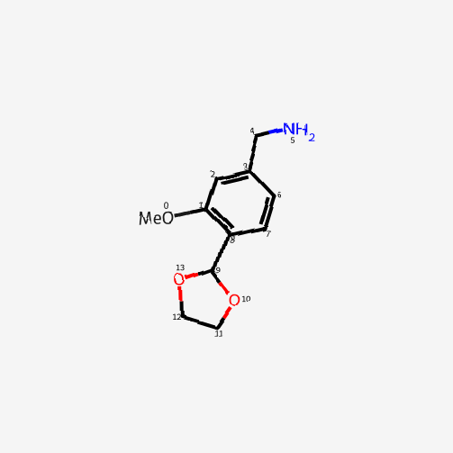 COc1cc(CN)ccc1C1OCCO1